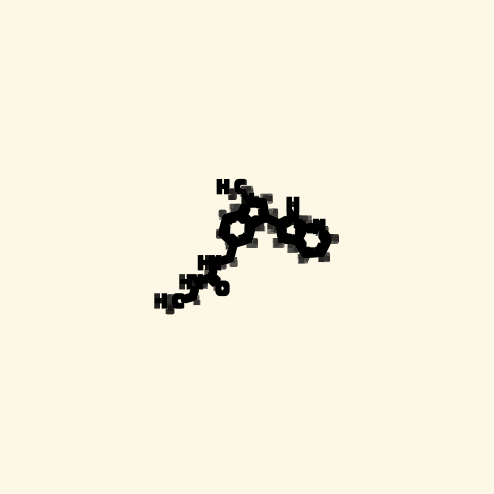 CCNC(=O)NCc1ccc2c(c1)c(-c1cc3cccnc3[nH]1)cn2C